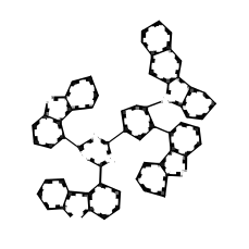 c1ccc2cc3c(cc2c1)c1ccccc1n3-c1ccc(-c2nc(-c3cccc4oc5ccccc5c34)nc(-c3cccc4oc5ccccc5c34)n2)cc1-c1cccc2oc3ccccc3c12